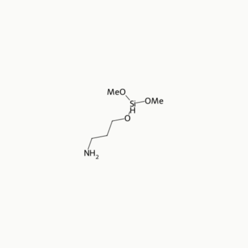 CO[SiH](OC)OCCCN